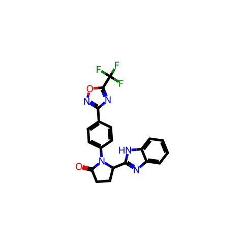 O=C1CCC(c2nc3ccccc3[nH]2)N1c1ccc(-c2noc(C(F)(F)F)n2)cc1